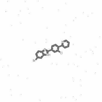 Clc1cc(-c2nc3ccc(Br)cc3[nH]2)ccc1-c1ccccn1